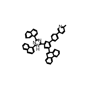 Cc1ccc(-c2ccc(-c3cc(C4=NC(c5cccc6ccccc56)=NC(c5cccc6ccccc56)N4)cc(-c4cc5ccccc5c5ccccc45)c3)cc2)cn1